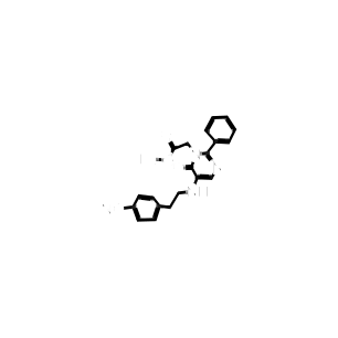 CC(C)(C)OC(=O)Cn1c(-c2ccccc2)ncc(NCCc2ccc(C#N)cc2)c1=O